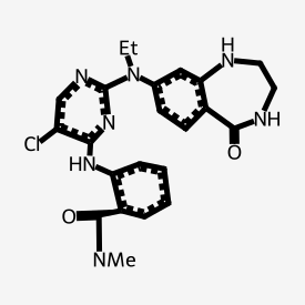 CCN(c1ccc2c(c1)NCCNC2=O)c1ncc(Cl)c(Nc2ccccc2C(=O)NC)n1